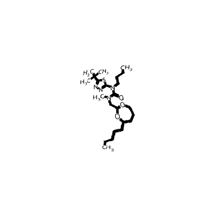 CCCCCC1CCCOC(CN(C)C(=O)N(CCCC)c2nnc(C(C)(C)C)s2)O1